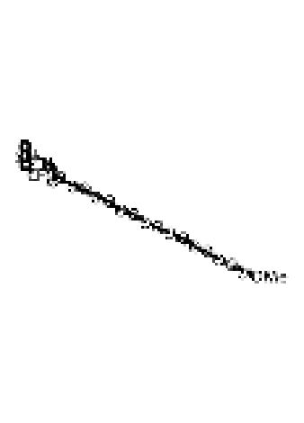 COCCOCCOCCOCCOCCOCCOCCOCCOCCOCCOCCOCCOCCOCCOCCOCCOC(=O)N1CCN(CCCN2c3ccccc3Sc3ccc(C(F)(F)F)cc32)CC1